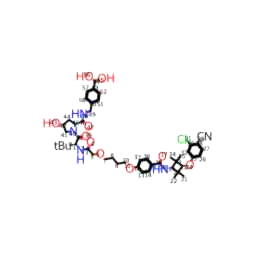 CC(C)(C)[C@H](NC(=O)COCCCCOc1ccc(C(=O)N[C@H]2C(C)(C)[C@H](Oc3ccc(C#N)c(Cl)c3)C2(C)C)cc1)C(=O)N1C[C@H](O)C[C@H]1C(=O)NCc1ccc(C(O)O)cc1